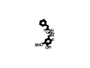 COc1cc(CNS(=O)(=O)NC(=O)Cc2ccccc2)c(Cl)cc1O